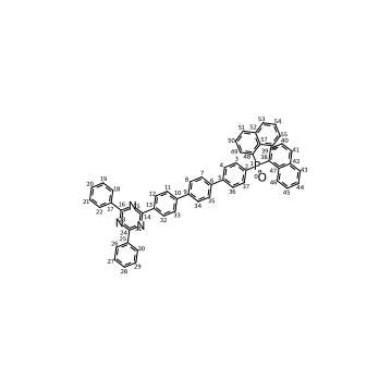 O=P(c1ccc(-c2ccc(-c3ccc(-c4nc(-c5ccccc5)nc(-c5ccccc5)n4)cc3)cc2)cc1)(c1cccc2ccccc12)c1cccc2ccccc12